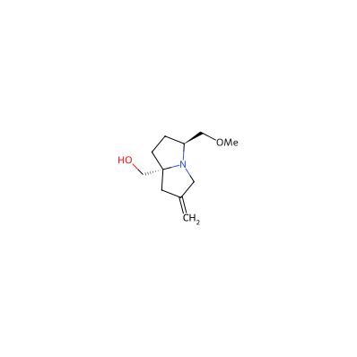 C=C1CN2[C@H](COC)CC[C@]2(CO)C1